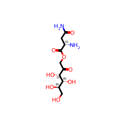 NC(=O)C[C@H](N)C(=O)OCC(=O)[C@@H](O)[C@H](O)[C@H](O)CO